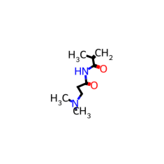 C=C(C)C(=O)NC(=O)CCN(C)C